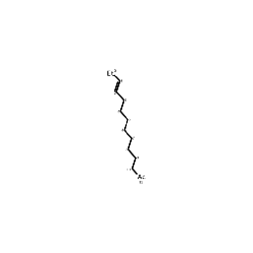 CCC=CCCCCCCCCC(C)=O